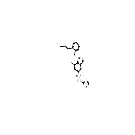 NC/C=C/c1ccccc1Cn1ncc2cc(S(=O)(=O)Nc3ncns3)cc(Cl)c21